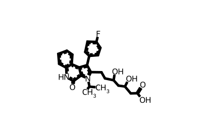 CC(C)n1c(CCC(O)CC(O)CC(=O)O)c(-c2ccc(F)cc2)c2c3ccccc3[nH]c(=O)c21